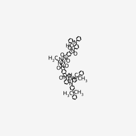 C=Cc1nc(-n2c(=O)c3cc4c(=O)n(-c5cccc(N(c6ccccc6)c6ccccc6)c5O)c(=O)c4cc3c2=O)nc(-n2c(=O)c3cc4c(=O)n(-c5cccc(N(c6ccc(C(C)(C)c7ccccc7)cc6)c6ccc(C(C)(C)c7ccccc7)cc6)c5O)c(=O)c4cc3c2=O)n1